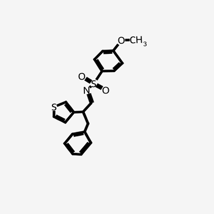 COc1ccc(S(=O)(=O)N=CC(Cc2ccccc2)c2ccsc2)cc1